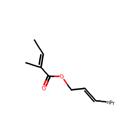 CC=C(C)C(=O)OCC=CCCC